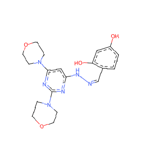 Oc1ccc(/C=N\Nc2cc(N3CCOCC3)nc(N3CCOCC3)n2)c(O)c1